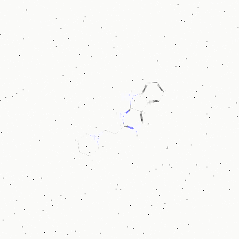 c1ccc2c(c1)[nH]c1nc(CCN3CCCCC3)ncc12